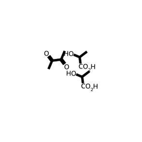 CC(=O)C(C)=O.CC(O)C(=O)O.CC(O)C(=O)O